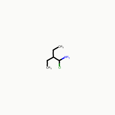 CCC(CC)C(N)Cl